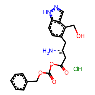 Cl.N[C@@H](CC(=O)OC(=O)OCc1ccccc1)Cc1ccc2[nH]ncc2c1CO